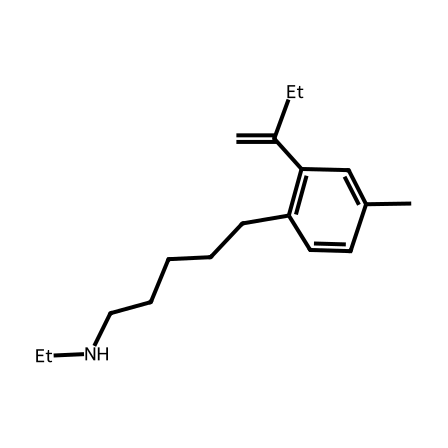 C=C(CC)c1cc(C)ccc1CCCCCNCC